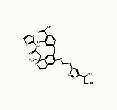 C[C@]1(CC(=O)Nc2nccs2)NCCc2cc(OCCn3cc(C(N)CO)nn3)c(Oc3ccc(C(=O)O)c(F)c3)cc21